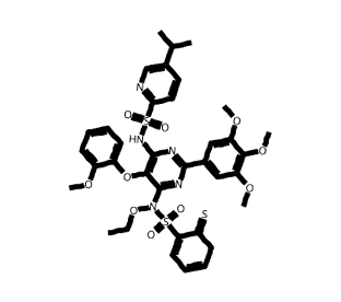 CCON(c1nc(-c2cc(OC)c(OC)c(OC)c2)nc(NS(=O)(=O)c2ccc(C(C)C)cn2)c1Oc1ccccc1OC)S(=O)(=O)C1=CC=CCC1=S